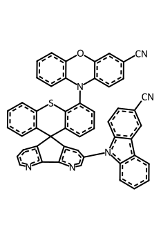 N#Cc1ccc2c(c1)Oc1ccccc1N2c1cccc2c1Sc1ccccc1C21c2cccnc2-c2ncc(-n3c4ccccc4c4cc(C#N)ccc43)cc21